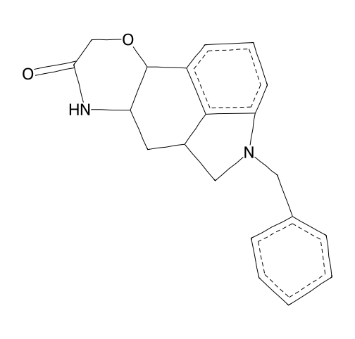 O=C1COC2c3cccc4c3C(CC2N1)CN4Cc1ccccc1